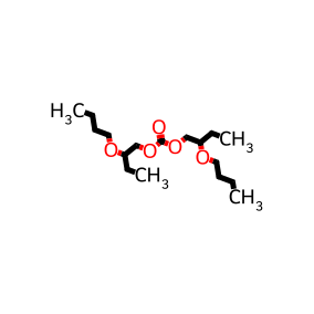 CCCCOC(CC)COC(=O)OCC(CC)OCCCC